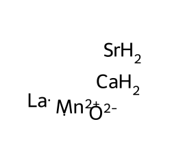 [CaH2].[La].[Mn+2].[O-2].[SrH2]